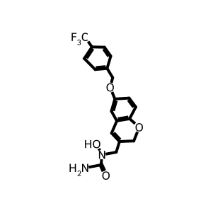 NC(=O)N(O)CC1=Cc2cc(OCc3ccc(C(F)(F)F)cc3)ccc2OC1